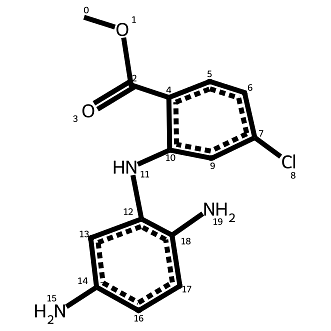 COC(=O)c1ccc(Cl)cc1Nc1cc(N)ccc1N